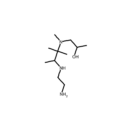 CC(O)CN(C)C(C)(C)C(C)NCCN